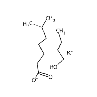 CC(C)CCCCC(=O)[O-].CCCCO.[K+]